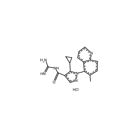 Cc1ccc2ncccc2c1-n1ncc(C(=O)NC(=N)N)c1C1CC1.Cl